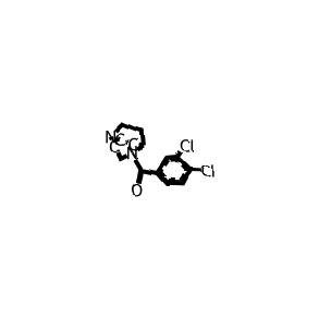 O=C(c1ccc(Cl)c(Cl)c1)N1CCN2CCC1CC2